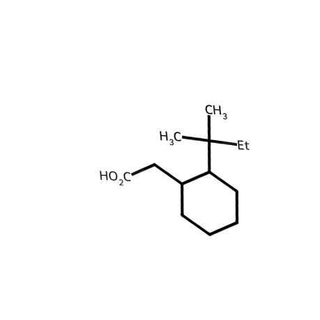 CCC(C)(C)C1CCCCC1CC(=O)O